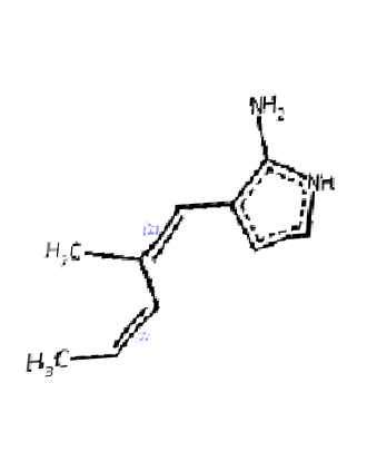 C/C=C\C(C)=C/c1cc[nH]c1N